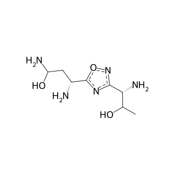 CC(O)[C@@H](N)c1noc([C@H](N)CC(N)O)n1